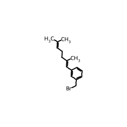 CC(C)=CCC/C(C)=C/c1cccc(CBr)c1